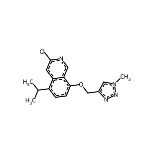 CC(C)c1ccc(OCc2cn(C)nn2)c2cnc(Cl)cc12